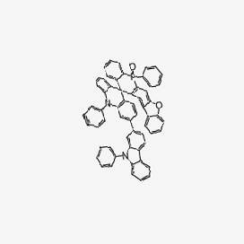 O=P1(c2ccccc2)c2ccccc2C2(c3ccccc3N(c3ccccc3)c3cc(-c4ccc5c6ccccc6n(-c6ccccc6)c5c4)ccc32)c2cc3c(cc21)oc1ccccc13